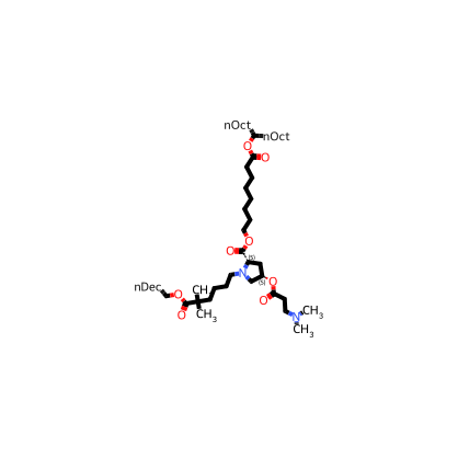 CCCCCCCCCCCOC(=O)C(C)(C)CCCCN1C[C@@H](OC(=O)CCN(C)C)C[C@H]1C(=O)OCCCCCCCC(=O)OC(CCCCCCCC)CCCCCCCC